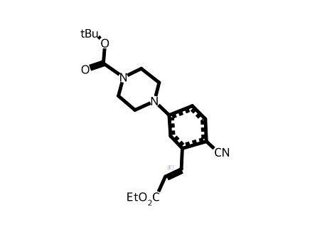 CCOC(=O)/C=C/c1cc(N2CCN(C(=O)OC(C)(C)C)CC2)ccc1C#N